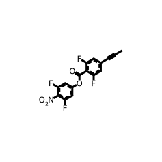 CC#Cc1cc(F)c(C(=O)Oc2cc(F)c([N+](=O)[O-])c(F)c2)c(F)c1